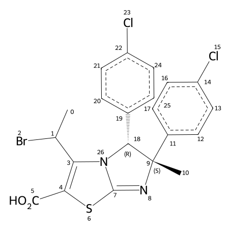 CC(Br)C1=C(C(=O)O)SC2=N[C@@](C)(c3ccc(Cl)cc3)[C@@H](c3ccc(Cl)cc3)N21